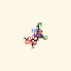 CC(=O)OCC1OC(OP(=O)(NCCCl)NCCCl)C(Br)CC1OC(C)=O